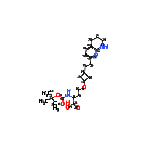 CC(C)(C)OC(=O)NC(CCO[C@H]1C[C@H](CCc2ccc3c(n2)NCCC3)C1)C(=O)O